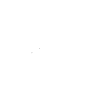 C#CCOC(=O)O/C=C/C